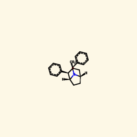 O=C(O)[C@H]1C[C@@H]2CC[C@H]([C@H]1c1ccccc1)N2Cc1ccccc1